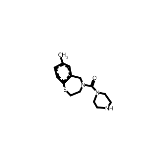 Cc1ccc2c(c1)CN(C(=O)N1CCNCC1)CCS2